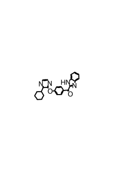 O=C(c1ccc(Oc2nccnc2C2CCCCC2)cc1)c1nc2ccccc2[nH]1